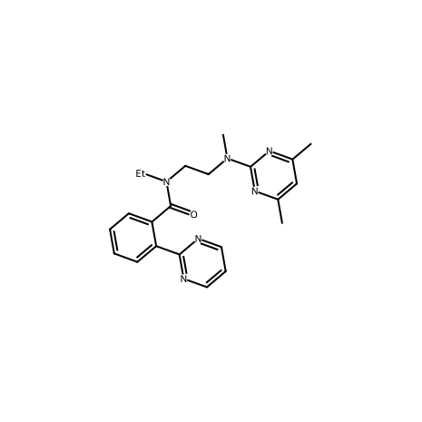 CCN(CCN(C)c1nc(C)cc(C)n1)C(=O)c1ccccc1-c1ncccn1